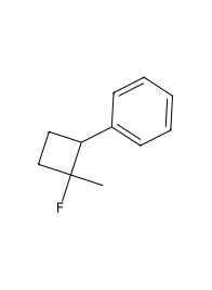 CC1(F)CCC1c1ccccc1